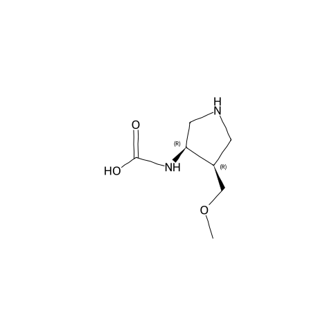 COC[C@@H]1CNC[C@@H]1NC(=O)O